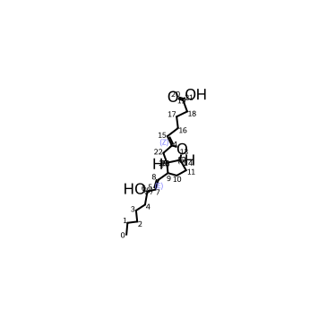 CCCCC[C@H](O)/C=C/C1CC[C@@H]2O/C(=C\CCCC(=O)O)C[C@H]12